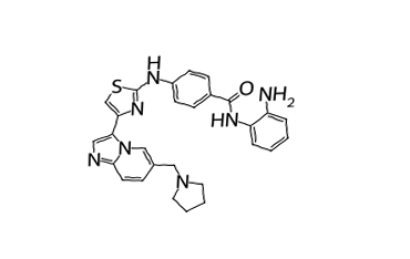 Nc1ccccc1NC(=O)c1ccc(Nc2nc(-c3cnc4ccc(CN5CCCC5)cn34)cs2)cc1